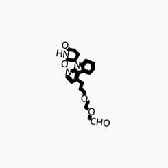 O=CCOCCOCCCc1ccnc2c1c1ccccc1n2C1CCC(=O)NC1=O